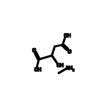 CN.O=C(O)CC(O)C(=O)O